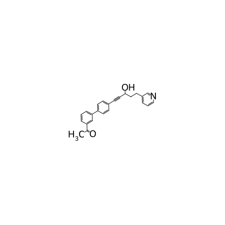 CC(=O)c1cccc(-c2ccc(C#CC(O)CCc3cccnc3)cc2)c1